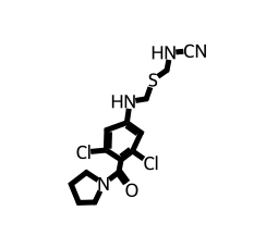 N#CNCSCNc1cc(Cl)c(C(=O)N2CCCC2)c(Cl)c1